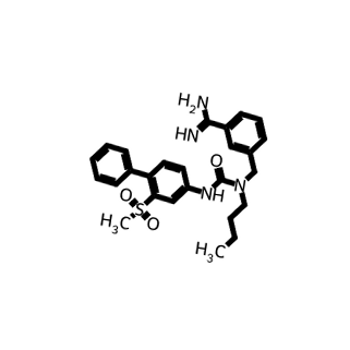 CCCCN(Cc1cccc(C(=N)N)c1)C(=O)Nc1ccc(-c2ccccc2)c(S(C)(=O)=O)c1